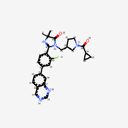 CC1(C)N=C(c2ccc(-c3ccc4cncnc4c3)cc2F)N(CC2CCN(C(=O)C3CC3)C2)C1=O